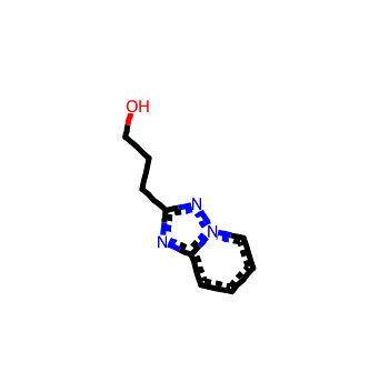 OCCCc1nc2ccccn2n1